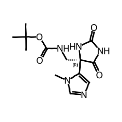 Cn1cncc1[C@@]1(CNC(=O)OC(C)(C)C)NC(=O)NC1=O